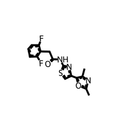 Cc1nc(C)c(-c2csc(NC(=O)Cc3c(F)cccc3F)n2)o1